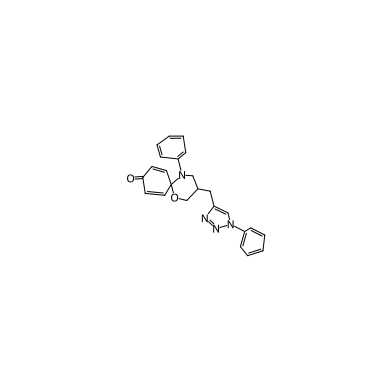 O=C1C=CC2(C=C1)OCC(Cc1cn(-c3ccccc3)nn1)CN2c1ccccc1